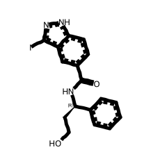 O=C(N[C@H](CCO)c1ccccc1)c1ccc2[nH]nc(I)c2c1